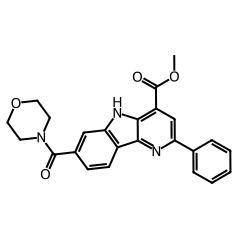 COC(=O)c1cc(-c2ccccc2)nc2c1[nH]c1cc(C(=O)N3CCOCC3)ccc12